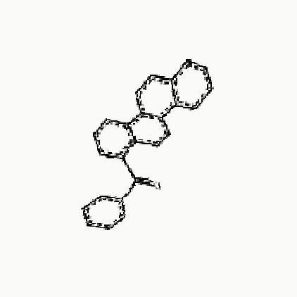 O=C(c1ccccc1)c1cccc2c1ccc1c3ccccc3ccc21